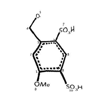 COc1cc(C[O])c(S(=O)(=O)O)cc1S(=O)(=O)O